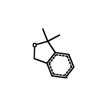 CC1(C)OCc2c[c]ccc21